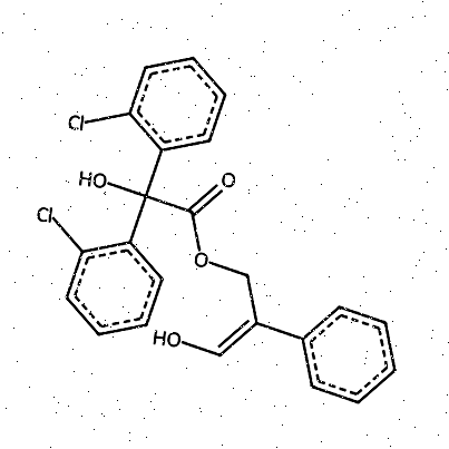 O=C(OCC(=CO)c1ccccc1)C(O)(c1ccccc1Cl)c1ccccc1Cl